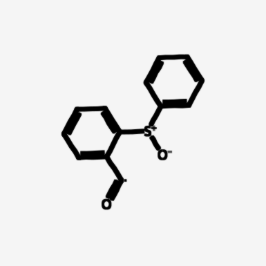 O=[C]c1ccccc1[S+]([O-])c1ccccc1